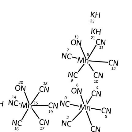 N#[C][Mn]([C]#N)([C]#N)([C]#N)([C]#N)[N]=O.N#[C][Mn]([C]#N)([C]#N)([C]#N)([C]#N)[N]=O.N#[C][Mn]([C]#N)([C]#N)([C]#N)([C]#N)[N]=O.[KH].[KH].[KH]